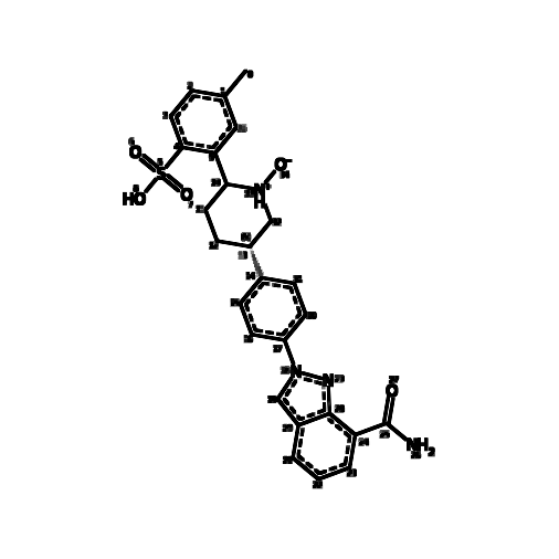 Cc1ccc(S(=O)(=O)O)c(C2CC[C@@H](c3ccc(-n4cc5cccc(C(N)=O)c5n4)cc3)C[NH+]2[O-])c1